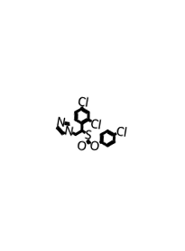 O=C(Oc1ccc(Cl)cc1)SC(Cn1ccnc1)c1ccc(Cl)cc1Cl